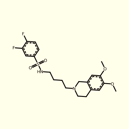 COc1cc2c(cc1OC)CN(CCCCNS(=O)(=O)c1ccc(F)c(F)c1)CC2